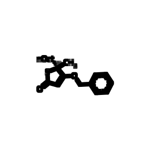 CCCCCCCC[C@@]1(C)SC(=O)C=C1OCc1ccccc1